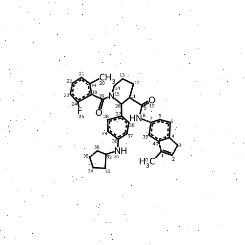 CC1=CCc2ccc(NC(=O)C3CCCN(C(=O)c4c(C)cccc4F)C3c3ccc(NC4CCCC4)cc3)cc21